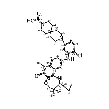 Cn1c(=O)c2c(c3cc(Nc4cc(N5CCC6(CCN(C(=O)O)CC6)CC5)ncc4Cl)ccc31)N[C@@H](C1CC1)C(F)(F)CO2